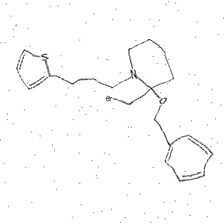 BrCC1(OCc2ccccc2)CCCCN1CCCc1cccs1